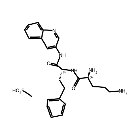 CS(=O)(=O)O.NCCC[C@H](N)C(=O)N[C@H](CCc1ccccc1)C(=O)Nc1cnc2ccccc2c1